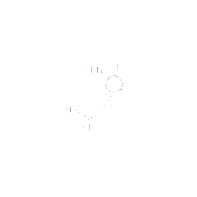 CN(C)CCOc1cc(N)c(F)cc1Cl